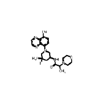 CC(C(=O)NC1CN(c2ccc(C#N)c3nccnc23)CC(F)(P)C1)N1CCOCC1